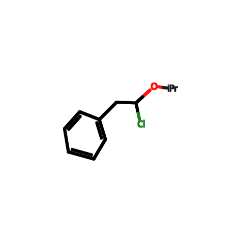 CC(C)OC(Cl)Cc1ccccc1